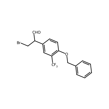 O=CC(CBr)c1ccc(OCc2ccccc2)c(C(F)(F)F)c1